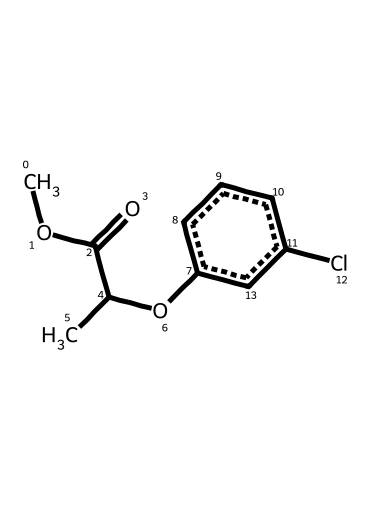 COC(=O)C(C)Oc1cccc(Cl)c1